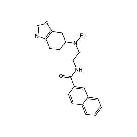 CCN(CCNC(=O)c1ccc2ccccc2c1)C1CCc2ncsc2C1